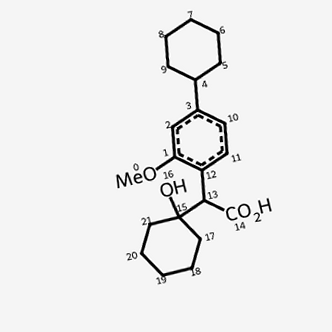 COc1cc(C2CCCCC2)ccc1C(C(=O)O)C1(O)CCCCC1